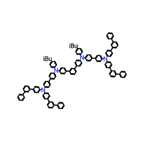 CCC(C)c1ccc(N(c2ccc(-c3ccc(N(c4ccc(-c5cccc(-c6ccccc6)c5)cc4)c4ccc(-c5cccc(-c6ccccc6)c5)cc4)cc3)cc2)c2ccc(-c3cccc(-c4ccc(N(c5ccc(-c6ccc(N(c7ccc(-c8cccc(-c9ccccc9)c8)cc7)c7ccc(-c8cccc(-c9ccccc9)c8)cc7)cc6)cc5)c5ccc(C(C)CC)cc5)cc4)c3)cc2)cc1